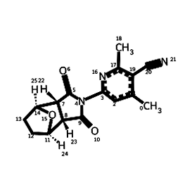 Cc1cc(N2C(=O)[C@@H]3[C@H](C2=O)[C@H]2CC[C@@H]3O2)nc(C)c1C#N